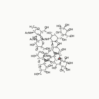 CC(=O)NC1C(O)[C@H](O[C@@H]2OC(CO)[C@H](O)[C@H](O)C2O)[C@H](CO)O[C@H]1OC1[C@@H](OCC2O[C@@H](O[C@@H]3C(CO)O[C@@H](O[C@@H]4C(CO)O[C@@H](C)C(NC(C)=O)[C@H]4O)C(NC(C)=O)[C@H]3O)C(O)[C@@H](O[C@H]3OC(CO)[C@@H](O)C(O)C3O[C@@H]3OC(CO)[C@@H](O[C@@H]4OC(C)[C@H](O)[C@H](O)C4O)[C@H](O)C3NC(C)=O)[C@@H]2O)OC(CO)[C@@H](O)[C@@H]1O